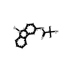 CCn1c2ccccc2c2cc(NC(=O)C(C)(C)O)ccc21